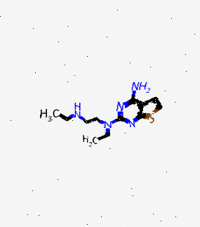 CCNCCN(CC)c1nc(N)c2ccsc2n1